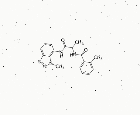 Cc1ccccc1C(=O)NC(C)C(=O)Nc1cccc2nnn(C)c12